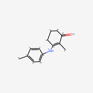 CC1=C(Nc2ccc(C)cc2)CCCC1=O